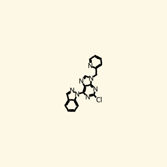 Clc1nc(-n2ncc3ccccc32)c2ncn(Cc3ccccn3)c2n1